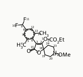 CCOC(=O)OC1=C(c2c(C)cc(C(F)F)cc2C)C(=O)OC12CCN(OC)CC2